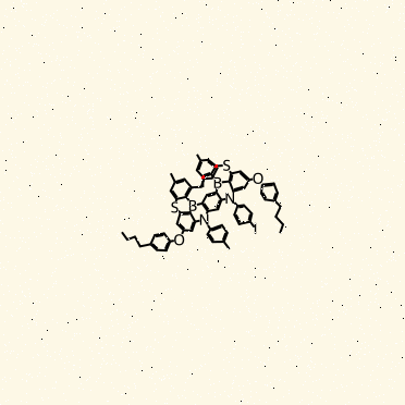 CCCCc1ccc(Oc2cc3c4c(c2)N(c2ccc(I)cc2)c2cc5c(cc2B4c2c(I)cc(C)cc2S3)B2c3c(CCCC)cc(C)cc3Sc3cc(Oc4ccc(CCCC)cc4)cc(c32)N5c2ccc(C)cc2)cc1